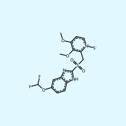 COc1cc[n+]([S-])c(CS(=O)(=O)c2nc3cc(OC(F)F)ccc3[nH]2)c1OC